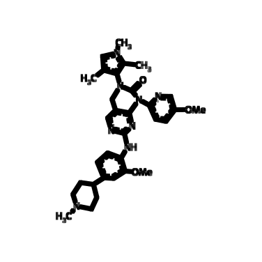 COc1ccc(N2C(=O)N(c3c(C)cn(C)c3C)Cc3cnc(Nc4ccc(C5CCN(C)CC5)cc4OC)nc32)nc1